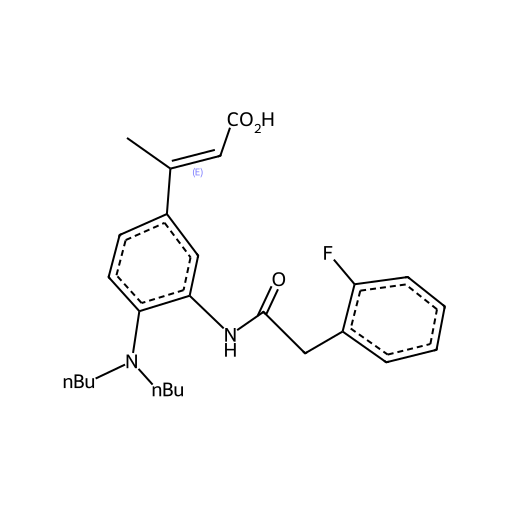 CCCCN(CCCC)c1ccc(/C(C)=C/C(=O)O)cc1NC(=O)Cc1ccccc1F